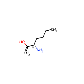 C=C(O)[C@@H](N)CCCC